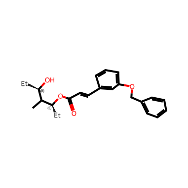 CC[C@@H](O)C(C)[C@H](CC)OC(=O)C=Cc1cccc(OCc2ccccc2)c1